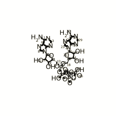 Nc1ncnc2c1ncn2[C@@H]1O[C@H](COP(=O)(OC[C@H]2O[C@@H](n3cnc4c(N)ncnc43)C(O)C2O)OP(=O)(O)OP(=O)(O)OP(=O)(O)O)C(O)C1O